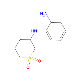 Nc1ccccc1NC1CCCS(=O)(=O)C1